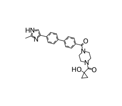 Cc1nc(-c2ccc(-c3ccc(C(=O)N4CCN(C(=O)C5(O)CC5)CC4)cc3)cc2)c[nH]1